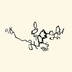 CC(C)C(=O)[C@@H](Oc1ccc2c(c1)c(SC(C)(C)C)c(CC(C)(C)C(=O)OCCCCCCO[N+](=O)[O-])n2Cc1ccc(Cl)cc1)C1CCCN1